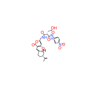 C=C(C)[C@H]1CCC2=Cc3c(cc(CNC(=O)[C@H](CC(=O)O)C(=O)Nc4ccc([N+](=O)[O-])cc4)oc3=O)O[C@H]2C1